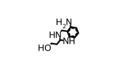 Nc1cccc2c1CNC(CCO)N2